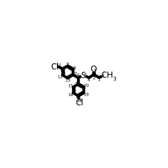 CCC(=O)CSC(c1ccc(Cl)cc1)c1ccc(Cl)cc1